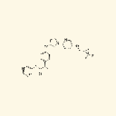 CC(C(=O)Nc1cncnc1)c1ccc(OC2CCN(c3ccc(OCC4CC4(F)F)cn3)C2)cc1